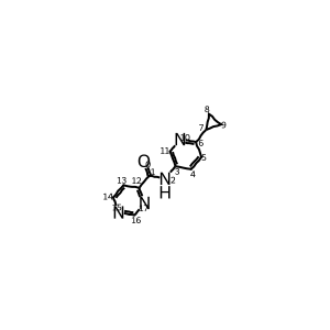 O=C(Nc1ccc(C2CC2)nc1)c1ccncn1